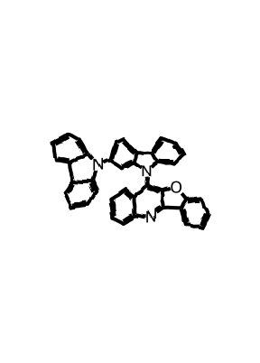 c1ccc2c(-n3c4ccccc4c4ccc(-n5c6ccccc6c6ccccc65)cc43)c3oc4ccccc4c3nc2c1